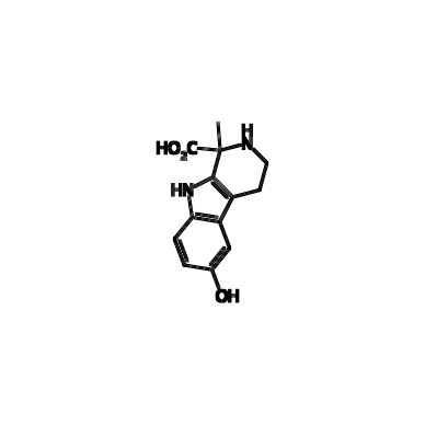 CC1(C(=O)O)NCCc2c1[nH]c1ccc(O)cc21